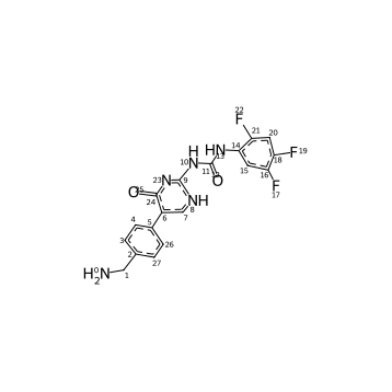 NCc1ccc(-c2c[nH]c(NC(=O)Nc3cc(F)c(F)cc3F)nc2=O)cc1